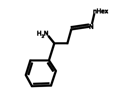 CCCCCCN=CCC(N)c1ccccc1